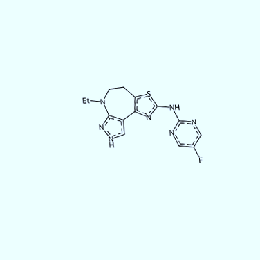 CCN1CCc2sc(Nc3ncc(F)cn3)nc2-c2c[nH]nc21